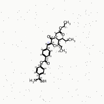 CCCC(CCC)N(CC(=O)OCC)C(=O)/C(C)=C/c1ccc(C(=O)Oc2ccc(C(=N)N)cc2)cc1